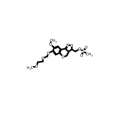 COCCOCOc1cc2c(cc1OC)C1=NOC(COS(C)(=O)=O)C1CO2